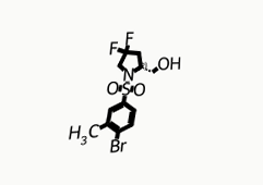 Cc1cc(S(=O)(=O)N2CC(F)(F)C[C@@H]2CO)ccc1Br